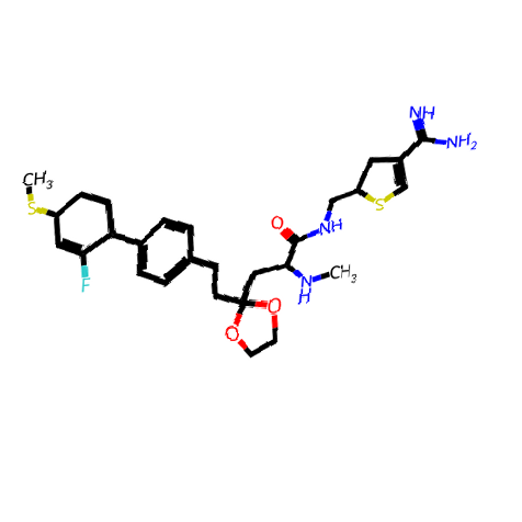 CNC(CC1(CCc2ccc(C3CCC(SC)C=C3F)cc2)OCCO1)C(=O)NCC1CC(C(=N)N)=CS1